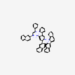 c1ccc(-c2cc(-c3ccc4ccccc4c3)nc(-c3cc(-c4ccc5ccccc5c4)c(-n4c5cc6ccccc6cc5c5ccc6ccccc6c54)cc3-c3ccccc3)n2)cc1